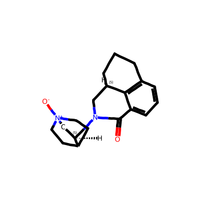 O=C1c2cccc3c2[C@H](CCC3)CN1[C@@H]1C[N+]2([O-])CCC1CC2